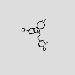 CN1CCc2c(n(CCc3ccc(=O)n(C)c3)c3ccc(Cl)cc23)CC1